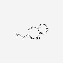 COC1=CNc2ccccc2C=C1